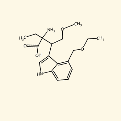 CCOCc1cccc2[nH]cc(C(COC)C(N)(CC)C(=O)O)c12